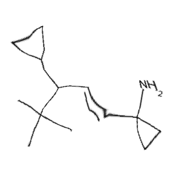 CC(C)(C)C(/C=C/C1(N)CC1)C1CC1